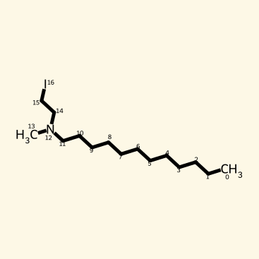 CCCCCCCCCCCCN(C)CCI